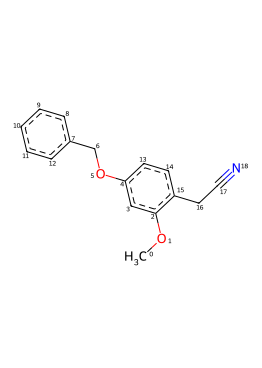 COc1cc(OCc2ccccc2)ccc1CC#N